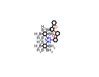 Bc1c(B)c(B)c(-c2nc(-c3c(B)c(B)c(B)c(B)c3B)nc(-c3cccc4c3oc3c(-c5cccc6c5oc5ccccc56)cccc34)n2)c(B)c1B